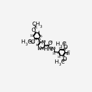 CCOc1ccc(-c2cncc(C(=O)N/N=C/c3cc(OC)c(F)c(OC)c3)n2)c(OC)c1